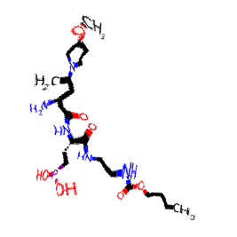 C=C(/C=C(\N)C(=O)N[C@@H](CCP(O)O)C(=O)NCCNC(=O)OCCCC)N1CC[C@H](OC)C1